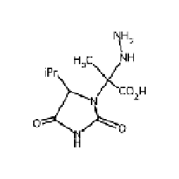 CC(C)C1C(=O)NC(=O)N1C(C)(NN)C(=O)O